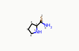 NC(=S)C1CCCN1